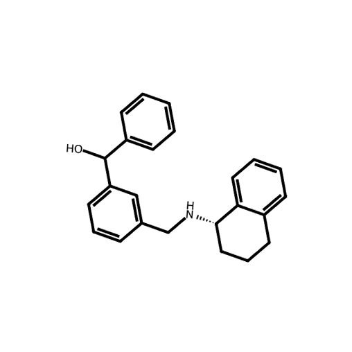 OC(c1ccccc1)c1cccc(CN[C@H]2CCCc3ccccc32)c1